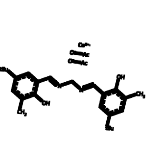 CC(=O)[O-].CC(=O)[O-].Cc1cc(C(C)(C)C)cc(C=NCN=Cc2cc(C(C)(C)C)cc(C)c2O)c1O.[Co+2]